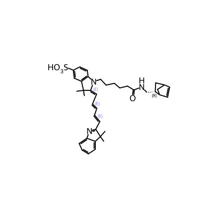 CC1(C)C(/C=C/C=C/C=C2/N(CCCCCC(=O)NC[C@@H]3CC4C=CC3C4)c3ccc(S(=O)(=O)O)cc3C2(C)C)=Nc2ccccc21